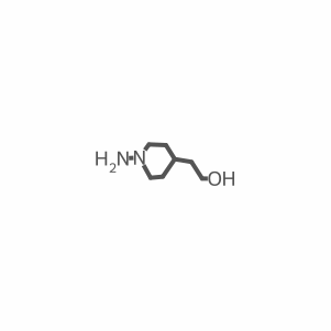 NN1CCC(CCO)CC1